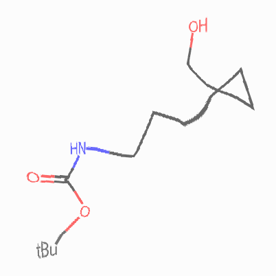 CC(C)(C)OC(=O)NCCCC1(CO)CC1